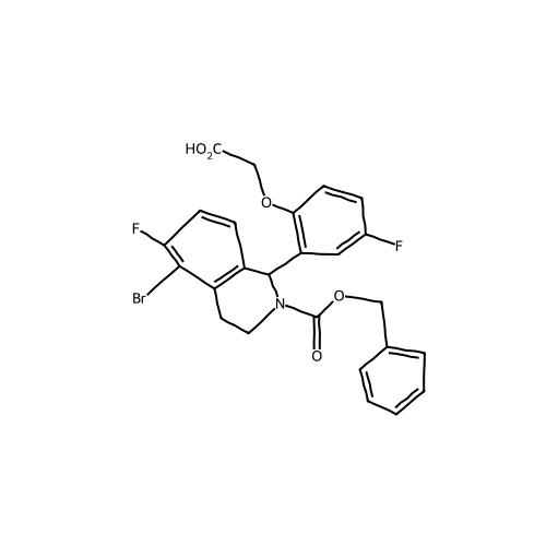 O=C(O)COc1ccc(F)cc1C1c2ccc(F)c(Br)c2CCN1C(=O)OCc1ccccc1